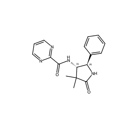 CC1(C)C(=O)N[C@H](c2ccccc2)[C@H]1NC(=O)c1ncccn1